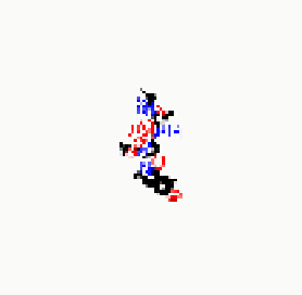 CCC[C@H](NC(=O)[C@@H]1CC(Oc2nc(C)cc3cc(OC)ccc23)CN1C(=O)OC(C)(C)C)C(O)C(=O)NC1CC1